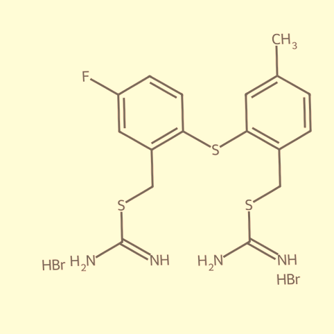 Br.Br.Cc1ccc(CSC(=N)N)c(Sc2ccc(F)cc2CSC(=N)N)c1